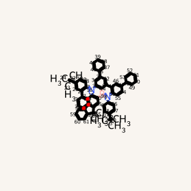 CC(C)(C)c1ccc(N2B3c4cc5c(cc4N(c4ccc(C(C)(C)C)cc4-c4ccccc4)c4cc(-c6ccccc6)cc(c43)-c3cc(-c4ccccc4)ccc32)-c2ccccc2C5(C)C)cc1